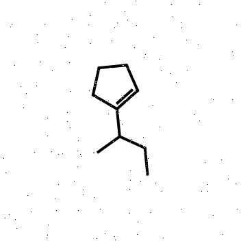 [CH2]C(CC)C1=CCCC1